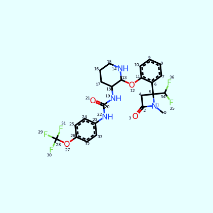 CN1C(=O)CC1(c1ccccc1OC1NCCCC1NC(=O)Nc1ccc(OC(F)(F)F)cc1)C(F)F